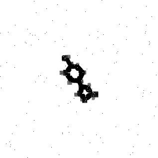 Clc1ccc(-c2c[nH]nn2)cn1